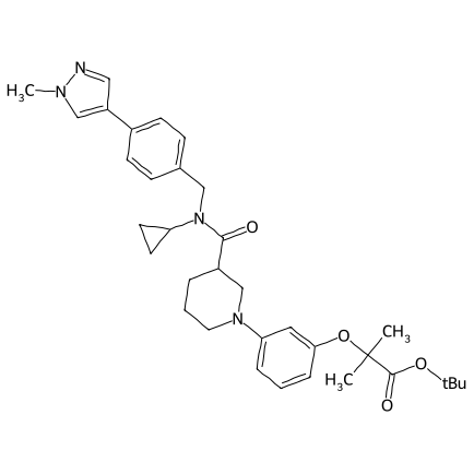 Cn1cc(-c2ccc(CN(C(=O)C3CCCN(c4cccc(OC(C)(C)C(=O)OC(C)(C)C)c4)C3)C3CC3)cc2)cn1